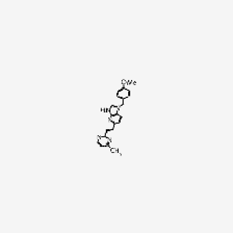 COc1ccc(CN2CNc3nc(C=Cc4nccc(C)n4)ccc32)cc1